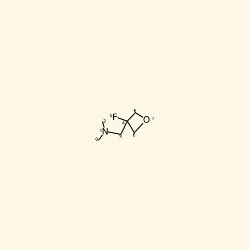 CN(C)CC1(F)COC1